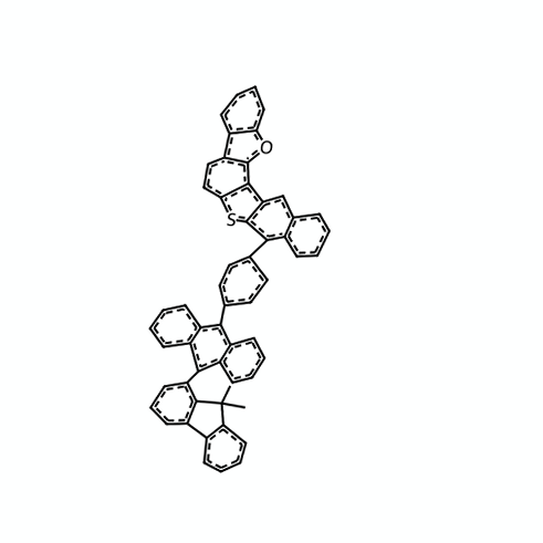 CC1(C)c2ccccc2-c2cccc(-c3c4ccccc4c(-c4ccc(-c5c6ccccc6cc6c5sc5ccc7c8ccccc8oc7c56)cc4)c4ccccc34)c21